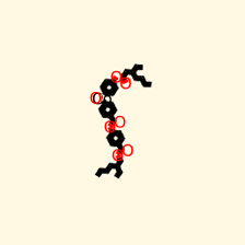 CCCCC(CC)COC(=O)c1ccc(OC(=O)c2cc[c]([Co](=[O])[c]3ccc(OC(=O)CC(CC)CCCC)cc3)cc2)cc1